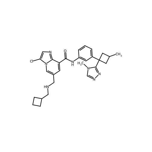 CC1CC(c2cccc(NC(=O)c3cc(CNCC4CCC4)cn4c(Cl)cnc34)c2)(c2nncn2C)C1